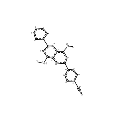 CNc1nc(-c2cccnc2)nc2c(OC)cc(-c3ccc(C#N)cc3)cc12